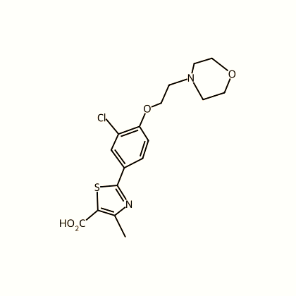 Cc1nc(-c2ccc(OCCN3CCOCC3)c(Cl)c2)sc1C(=O)O